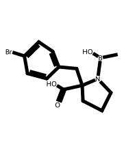 CB(O)N1CCCC1(Cc1ccc(Br)cc1)C(=O)O